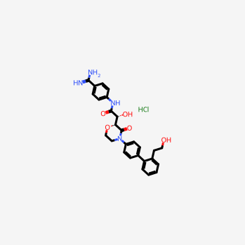 Cl.N=C(N)c1ccc(NC(=O)[C@H](O)[C@H]2OCCN(c3ccc(-c4ccccc4CCO)cc3)C2=O)cc1